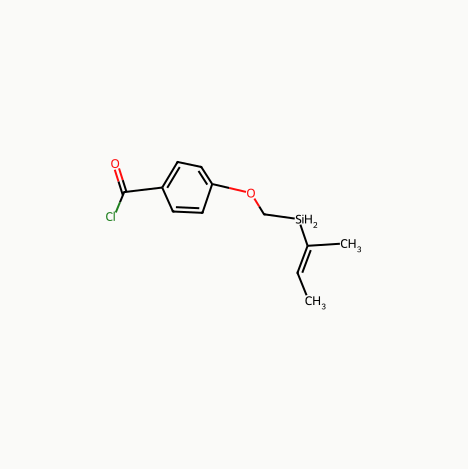 CC=C(C)[SiH2]COc1ccc(C(=O)Cl)cc1